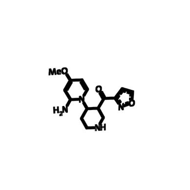 COC1=CC(N)N(C2CCNCC2C(=O)c2ccon2)C=C1